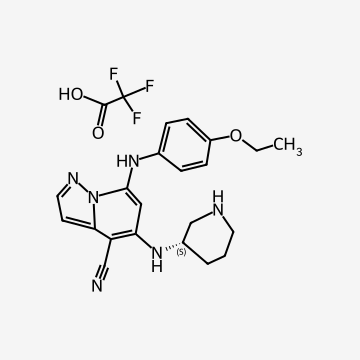 CCOc1ccc(Nc2cc(N[C@H]3CCCNC3)c(C#N)c3ccnn23)cc1.O=C(O)C(F)(F)F